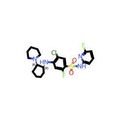 O=S(=O)(Nc1cccc(F)n1)c1cc(Cl)c(N[C@@H]2CCCC[C@H]2N2CCCCC2)cc1F